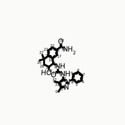 Cc1nn(-c2ccccc2)c(NC(=O)NC2c3cc(C(N)=O)ccc3C(C)(C)CC2O)c1C